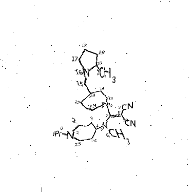 CC(C)N1CCC(N(C)C(=C(C#N)C#N)N2CCC(CN3CCCC3C)CC2)CC1